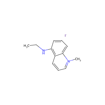 CCNc1cccc2c1ccc[n+]2C.[I-]